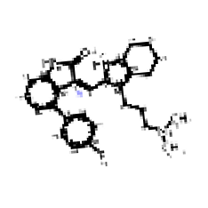 CN(C)CCCc1c(/C=C2\C(=O)Nc3cccc(-c4ccc(F)cc4)c32)[nH]c2c1CCCC2